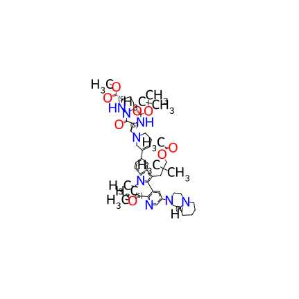 CCn1c(-c2cc(N3CCN4CCCC[C@@H]4C3)cnc2[C@H](C)OC)c(CC(C)(C)COC(C)=O)c2cc(C3=CCCN(C[C@H](NC(=O)OC(C)(C)C)C(=O)N4CCC[C@@H](C(=O)OC)N4)C3)ccc21